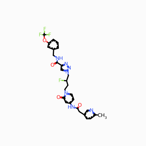 Cc1ccc(CC(=O)Nc2ccn(CCC(F)Cn3cc(C(=O)NCc4cccc(OC(F)(F)F)c4)nn3)c(=O)c2)cn1